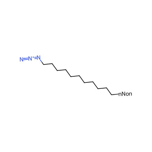 CCCCCCCCCCCCCCCCCCCCN=[N+]=[N-]